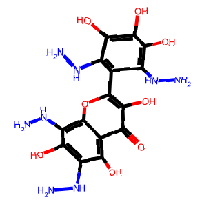 NNc1c(O)c(O)c(O)c(NN)c1-c1oc2c(NN)c(O)c(NN)c(O)c2c(=O)c1O